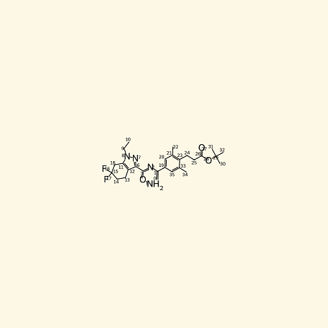 C=C(/N=C(\ON)c1nn(CC)c2c1CCC(F)(F)C2)c1cc(C)c(CCC(=O)OC(C)(C)C)c(C)c1